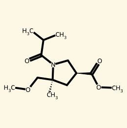 COC[C@]1(C)C[C@H](C(=O)OC)CN1C(=O)C(C)C